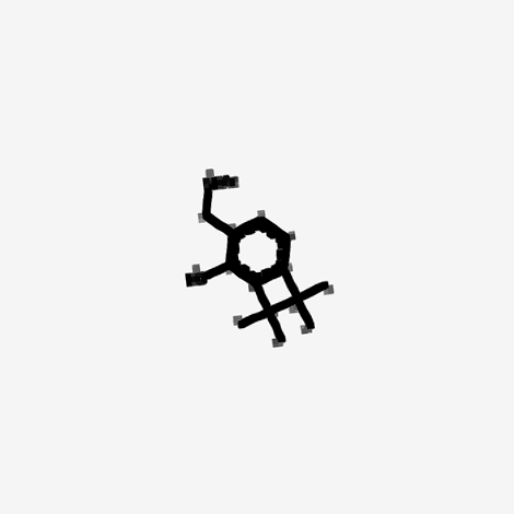 CC(=O)NCc1ccc2c(c1O)C(C)(C)C2(C)C